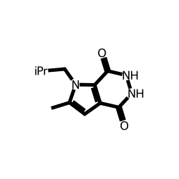 Cc1cc2c(=O)[nH][nH]c(=O)c2n1CC(C)C